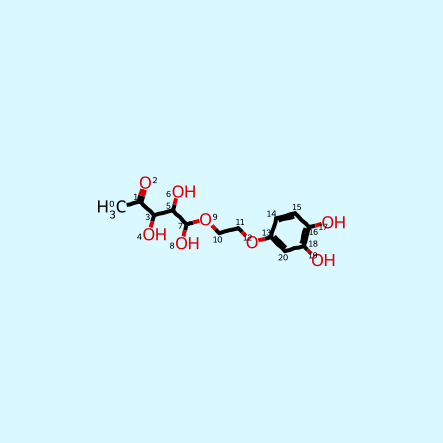 CC(=O)C(O)C(O)C(O)OCCOc1ccc(O)c(O)c1